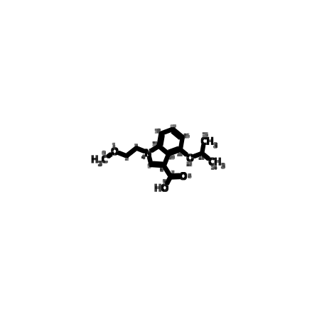 COCCn1cc(C(=O)O)c2c(OC(C)C)cccc21